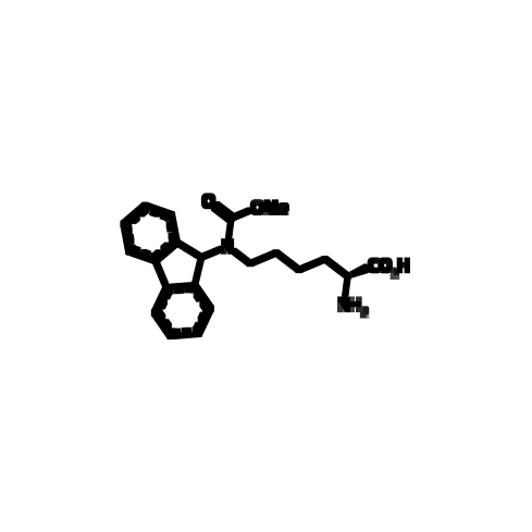 COC(=O)N(CCCC[C@H](N)C(=O)O)C1c2ccccc2-c2ccccc21